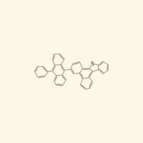 c1ccc(-c2c3ccccc3c(-c3ccc4c(c3)c3ccccc3c3c5ccccc5sc43)c3ccccc23)cc1